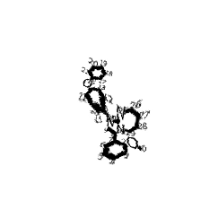 COc1ccccc1C1=CN(c2ccc(Oc3ccccc3)cc2)C2=NCCCCN12